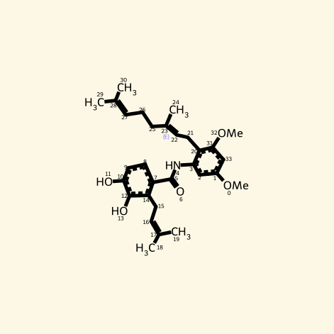 COc1cc(NC(=O)c2ccc(O)c(O)c2CC=C(C)C)c(C/C=C(\C)CCC=C(C)C)c(OC)c1